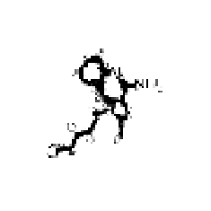 Cc1nc2c(N)nc3ccccc3c2n1CCCCCl